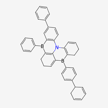 C1=CCC(c2ccc(B3C4=CCCC5=C4N(C4=C3CCC=C4)c3ccc(-c4ccccc4)cc3B5c3ccccc3)cc2)C=C1